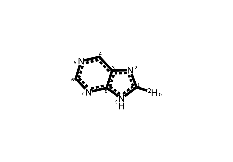 [2H]c1nc2cncnc2[nH]1